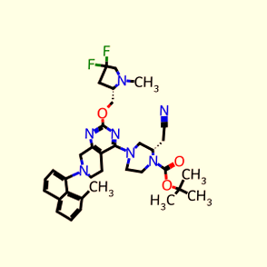 Cc1cccc2cccc(N3CCc4c(nc(OC[C@@H]5CC(F)(F)CN5C)nc4N4CCN(C(=O)OC(C)(C)C)[C@@H](CC#N)C4)C3)c12